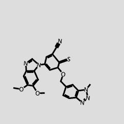 COc1cc2ncn(C3=CC(OCc4ccc5nnn(C)c5c4)C(=S)C(C#N)=C3)c2cc1OC